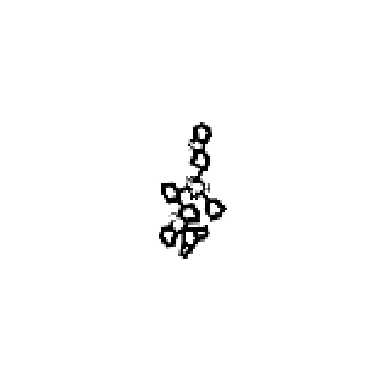 c1ccc(-c2nc(-c3ccc4c(c3)sc3ccccc34)nc(-c3ccccc3-c3cccc4c3Oc3ccccc3C43c4ccccc4-c4ccccc43)n2)cc1